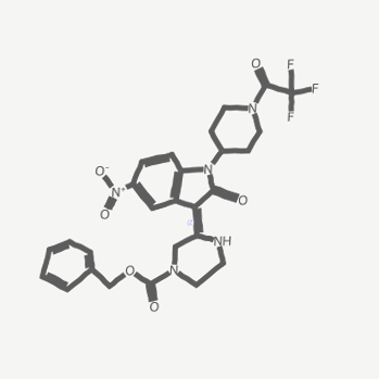 O=C(OCc1ccccc1)N1CCN/C(=C2\C(=O)N(C3CCN(C(=O)C(F)(F)F)CC3)c3ccc([N+](=O)[O-])cc32)C1